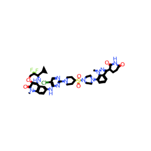 Cn1nc(C2CCC(=O)NC2=O)c2cccc(N3CCN(S(=O)(=O)C4CCN(c5ncc(Cl)c(Nc6ccc7c(c6)c6c(c(=O)n7C)OCC(F)(F)C(C7CC7)N6)n5)CC4)CC3)c21